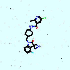 Cc1ncc(Cl)cc1C(=O)NC1CCC(CN2C(=O)C3(CNC3)c3c(F)cccc32)CC1